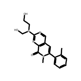 Cc1ccccc1-c1cc2cnc(N(CO)CCO)nc2c(=O)n1C